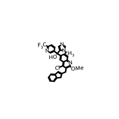 COc1nc2ccc(C(O)(c3ccc(C(F)(F)F)nc3)c3cncn3C)cc2c(Cl)c1CC1=Cc2ccccc2C1